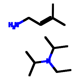 CC(C)=CCN.CCN(C(C)C)C(C)C